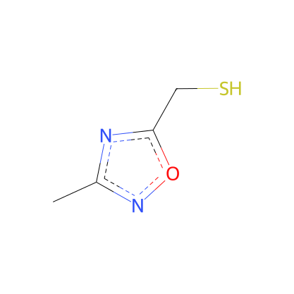 Cc1noc(CS)n1